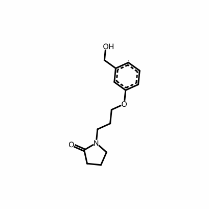 O=C1CCCN1CCCOc1cc[c]c(CO)c1